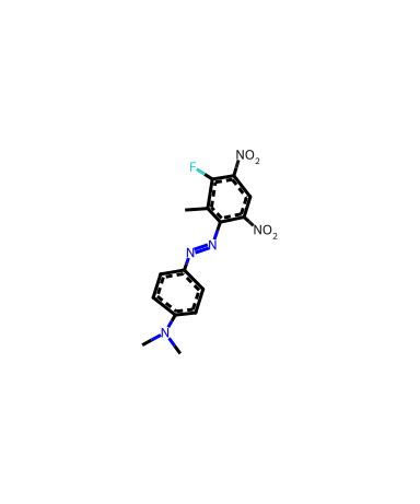 Cc1c(F)c([N+](=O)[O-])cc([N+](=O)[O-])c1N=Nc1ccc(N(C)C)cc1